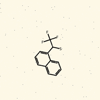 FC(F)(F)C([S])c1cccc2ccccc12